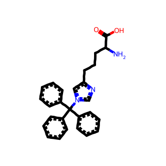 NC(CCCc1cn(C(c2ccccc2)(c2ccccc2)c2ccccc2)cn1)C(=O)O